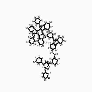 c1ccc(-c2nc(-c3ccccc3)nc(-c3cccc(CCc4ccc5c(c4)c4ccccc4n5-c4cccc(-n5c6ccccc6c6c7c(c8ccccc8n7-c7ccccc7)c7c(c8ccccc8n7-c7ccccc7)c65)c4)c3)n2)cc1